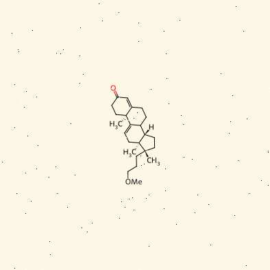 COCCC[C@@]1(C)CC[C@H]2C3CCC4=CC(=O)CC[C@]4(C)C3=CC[C@@]21C